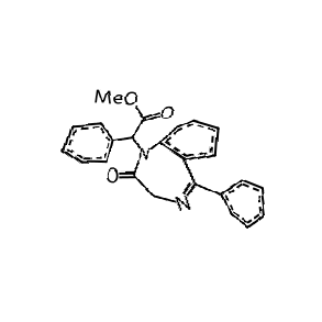 COC(=O)C(c1ccccc1)N1C(=O)CN=C(c2ccccc2)c2ccccc21